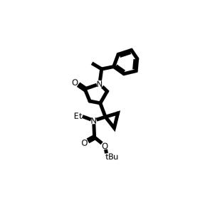 CCN(C(=O)OC(C)(C)C)C1(C2CC(=O)N(C(C)c3ccccc3)C2)CC1